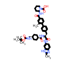 Cc1nc2ccc(NC(=O)[C@H](Cc3ccc(-c4ccc(C(=O)NC5CCCCN5C(=O)O)cc4C)cc3)NC(=O)[C@H]3CC[C@H](CNC(=O)OC(C)(C)C)CC3)cc2[nH]1